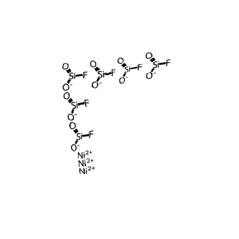 O=[Si]([O-])F.O=[Si]([O-])F.O=[Si]([O-])F.O=[Si]([O-])F.O=[Si]([O-])F.O=[Si]([O-])F.[Ni+2].[Ni+2].[Ni+2]